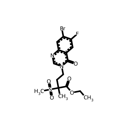 CCOC(=O)C(C)(CCn1cnc2cc(Br)c(F)cc2c1=O)S(C)(=O)=O